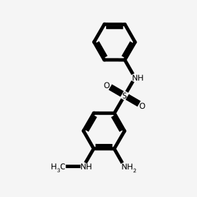 CNc1ccc(S(=O)(=O)Nc2ccccc2)cc1N